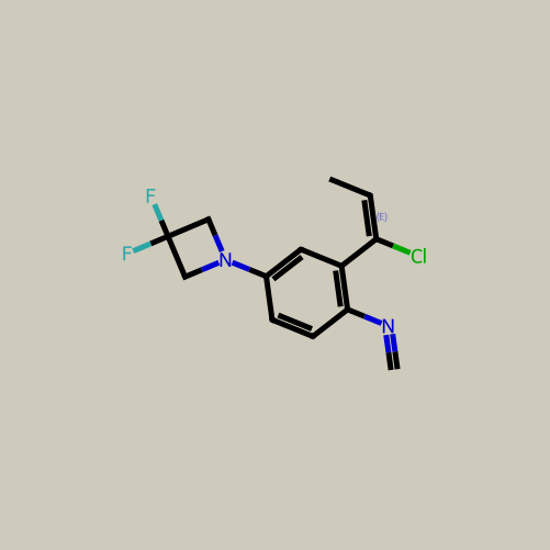 C=Nc1ccc(N2CC(F)(F)C2)cc1/C(Cl)=C\C